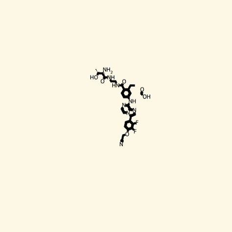 CCc1cc(Nc2nccn3c(-c4ccc(OCC#N)c(F)c4F)cnc23)ccc1C(=O)NCCNC(=O)[C@@H](N)[C@@H](C)O.O=CO